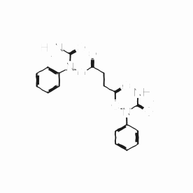 NC(=O)N(OC(=O)CCC(=O)ON(C(N)=O)c1ccccc1)c1ccccc1